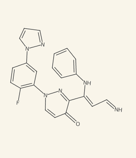 N=C/C=C(\Nc1ccccc1)c1nn(-c2cc(-n3cccn3)ccc2F)ccc1=O